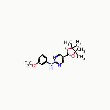 CC1(C)OB(c2cnc(Nc3cccc(OC(F)(F)F)c3)nc2)OC1(C)C